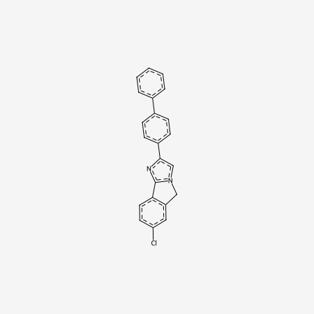 Clc1ccc2c(c1)Cn1cc(-c3ccc(-c4ccccc4)cc3)nc1-2